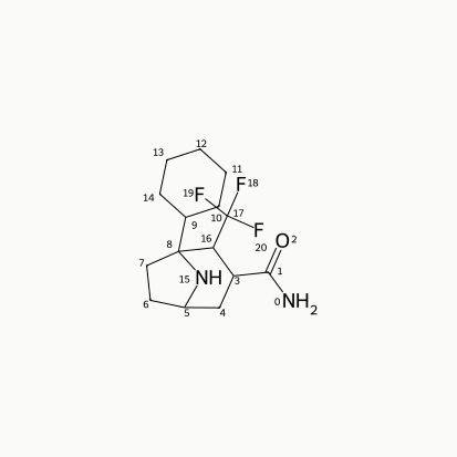 NC(=O)C1CC2CCC(C3CCCCC3)(N2)C1C(F)(F)F